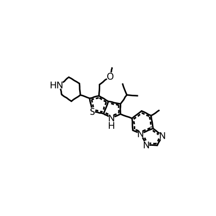 COCc1c(C2CCNCC2)sc2[nH]c(-c3cc(C)c4ncnn4c3)c(C(C)C)c12